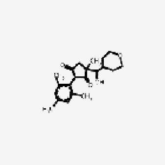 Cc1cc(C)c(C2C(=O)CC(C)(C(O)C3CCOCC3)C2=O)c(C)c1